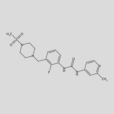 Cc1cc(NC(=O)Nc2cccc(CN3CCN(S(C)(=O)=O)CC3)c2F)ccn1